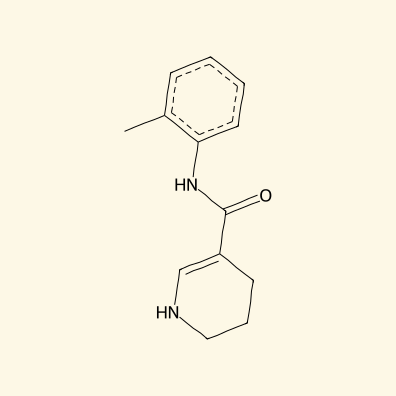 Cc1ccccc1NC(=O)C1=CNCCC1